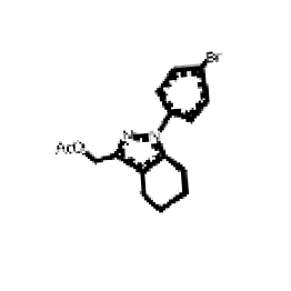 CC(=O)OCc1nn(-c2ccc(Br)cc2)c2c1CCCC2